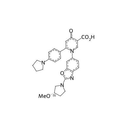 CO[C@H]1CCN(c2nc3ccc(-n4cc(C(=O)O)c(=O)cc4-c4ccc(N5CCCC5)cc4)cc3o2)C1